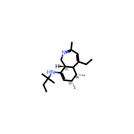 CCC1=CC(C)=NC[C@H]2C(NC(C)(C)CC)=C[C@@H](C)[C@@H](C)C12